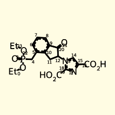 CCOP(=O)(Cc1cccc2c1CC(n1cc(C(=O)O)nc1C(=O)O)C2=O)OCC